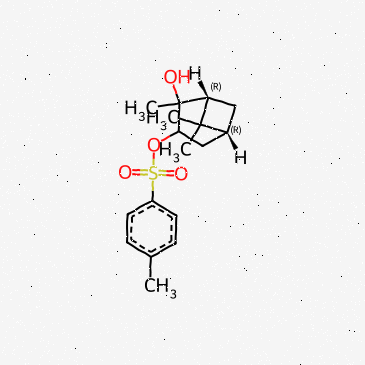 Cc1ccc(S(=O)(=O)OC2C[C@H]3C[C@@H](C2(C)O)C3(C)C)cc1